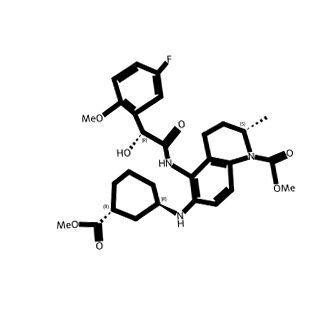 COC(=O)[C@@H]1CCC[C@@H](Nc2ccc3c(c2NC(=O)[C@H](O)c2cc(F)ccc2OC)CC[C@H](C)N3C(=O)OC)C1